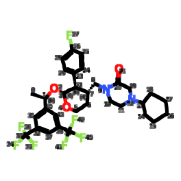 C[C@@H](O[C@H]1OCC[C@@H](CN2CCN(C3CCCCC3)CC2=O)[C@@H]1c1ccc(F)cc1)c1cc(C(F)(F)F)cc(C(F)(F)F)c1